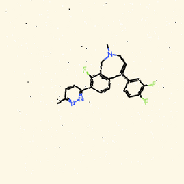 Cc1ccc(-c2ccc3c(c2F)CN(C)CC=C3c2ccc(F)c(F)c2)nn1